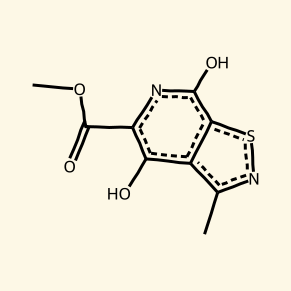 COC(=O)c1nc(O)c2snc(C)c2c1O